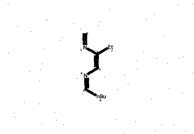 C=N/C(=C\N=C/CCCC)CC